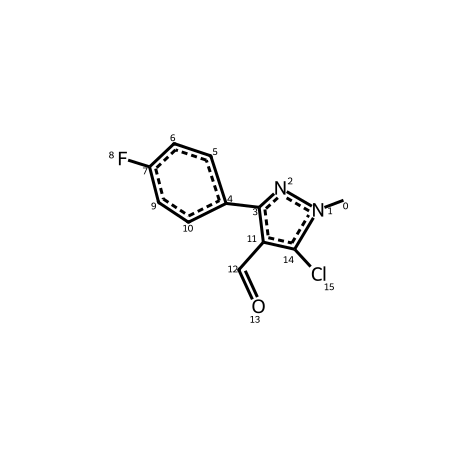 Cn1nc(-c2ccc(F)cc2)c(C=O)c1Cl